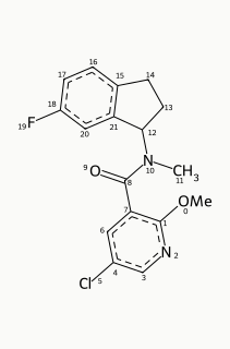 COc1ncc(Cl)cc1C(=O)N(C)C1CCc2ccc(F)cc21